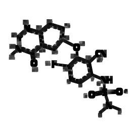 CN(C)S(=O)(=O)Nc1ccc(F)c(Oc2ccc3ncn(C)c(=O)c3c2)c1C#N